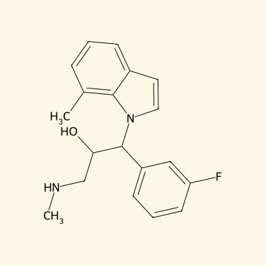 CNCC(O)C(c1cccc(F)c1)n1ccc2cccc(C)c21